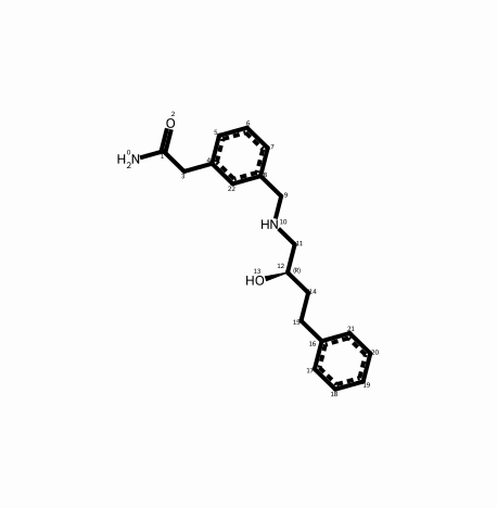 NC(=O)Cc1cccc(CNC[C@H](O)[CH]Cc2ccccc2)c1